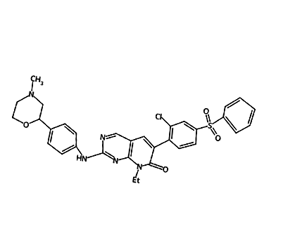 CCn1c(=O)c(-c2ccc(S(=O)(=O)c3ccccc3)cc2Cl)cc2cnc(Nc3ccc(C4CN(C)CCO4)cc3)nc21